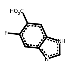 O=C(O)c1cc2[nH]cnc2cc1F